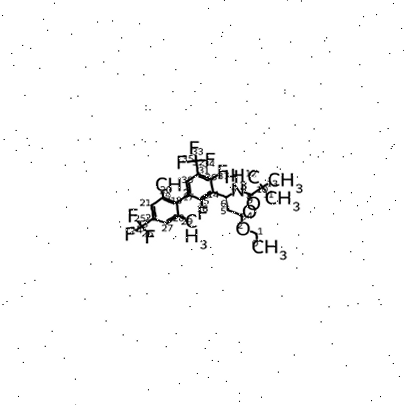 CCOC(=O)C[C@H](NC(=O)C(C)(C)C)c1c(F)c(-c2c(C)cc(C(F)(F)F)cc2C)cc(C(F)(F)F)c1F